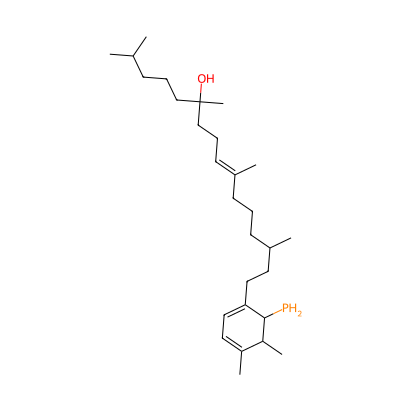 CC1=CC=C(CCC(C)CCC/C(C)=C/CCC(C)(O)CCCC(C)C)C(P)C1C